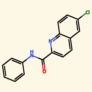 O=C(Nc1ccccc1)c1ccc2cc(Cl)ccc2n1